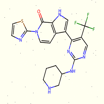 O=c1c2[nH]cc(-c3nc(NC4CCCNC4)ncc3C(F)(F)F)c2ccn1-c1nccs1